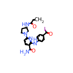 C=CC(=O)N[C@H]1CCN(c2ccc(C(N)=O)c(Nc3ccc(C(=O)I)cc3)n2)C1